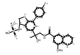 COc1cc(C(=O)NCC(C)(O)c2cc3c(c(-c4ccc(F)cc4)n2)OC[C@@]3(NS(=O)(=O)C(C)(C)C)C(F)(F)F)cc2cccnc12